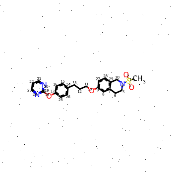 CS(=O)(=O)N1CCc2cc(OCCCc3ccc(Oc4ncccn4)cc3)ccc2C1